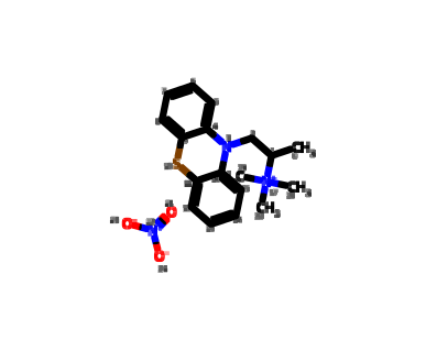 CC(CN1c2ccccc2Sc2ccccc21)[N+](C)(C)C.O=[N+]([O-])[O-]